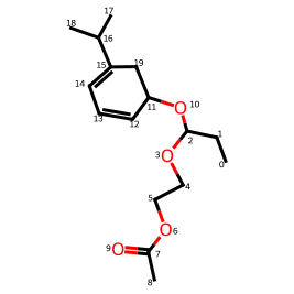 CCC(OCCOC(C)=O)OC1C=CC=C(C(C)C)C1